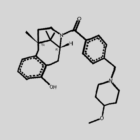 COC1CCN(Cc2ccc(C(=O)N3CC[C@@]4(C)c5cccc(O)c5C[C@@H]3C4(C)C)cc2)CC1